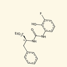 CCOC(=O)[C@H](Cc1ccccc1)NC(=O)Nc1cccc(F)c1O